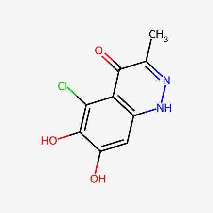 Cc1n[nH]c2cc(O)c(O)c(Cl)c2c1=O